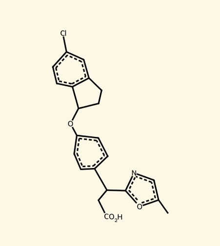 Cc1cnc(C(CC(=O)O)c2ccc(OC3CCc4cc(Cl)ccc43)cc2)o1